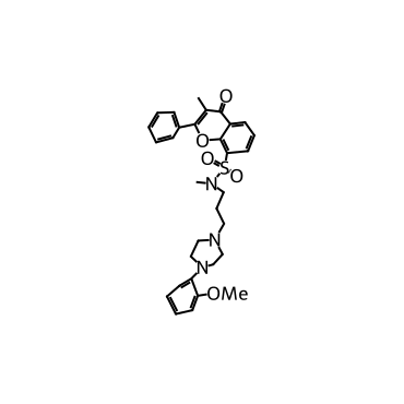 COc1ccccc1N1CCN(CCCN(C)S(=O)(=O)c2cccc3c(=O)c(C)c(-c4ccccc4)oc23)CC1